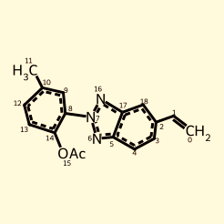 C=Cc1ccc2nn(-c3cc(C)ccc3OC(C)=O)nc2c1